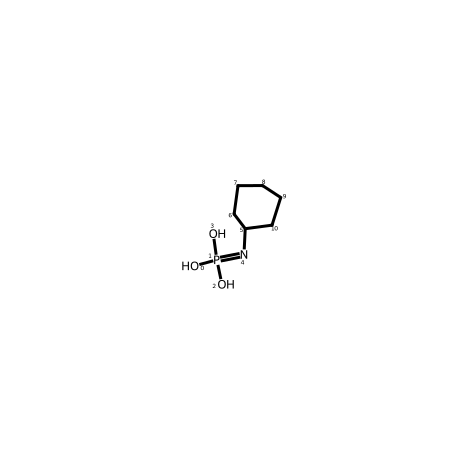 OP(O)(O)=NC1CCCCC1